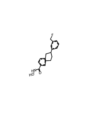 O=C(NO)c1ccc2c(c1)CCC(c1cccc(CF)c1)C2